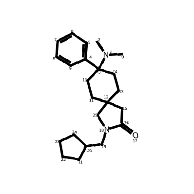 CN(C)C1(c2ccccc2)CCC2(CC1)CC(=O)N(CC1CCCC1)C2